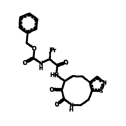 CC(C)C(NC(=O)OCc1ccccc1)C(=O)NC1CCc2cnsc2CCNC(=O)C1=O